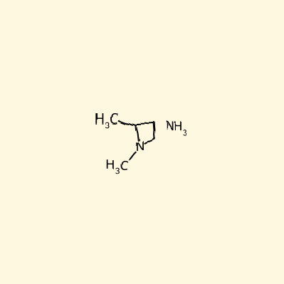 CC1CCN1C.N